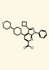 O=C(Cl)c1cc(N2CCC(N3CCOCC3)CC2)c2c(C3CCC3)nn(-c3ccccc3)c2n1